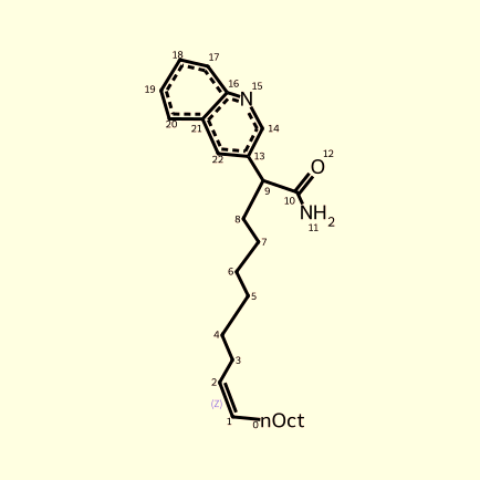 CCCCCCCC/C=C\CCCCCCC(C(N)=O)c1cnc2ccccc2c1